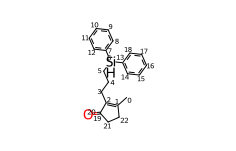 CC1=C(CCC[SiH](c2ccccc2)c2ccccc2)C(=O)CC1